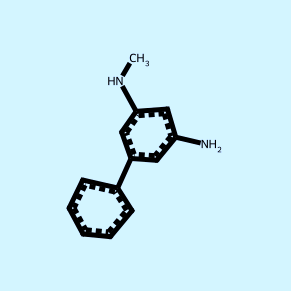 CNc1cc(N)cc(-c2ccccc2)c1